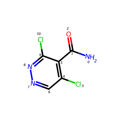 NC(=O)c1c(Cl)cnnc1Cl